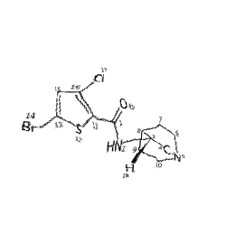 O=C(N[C@H]1CN2CCC1CC2)c1sc(Br)cc1Cl